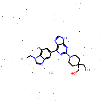 CCn1cnc2cc(-c3nc(N4CCC(CO)(CO)CC4)nc4[nH]cnc34)cc(F)c21.Cl